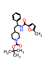 Cc1ccc(C(=O)NC(CC2CCN(C(=O)OC(C)(C)C)CC2)c2ccccc2)o1